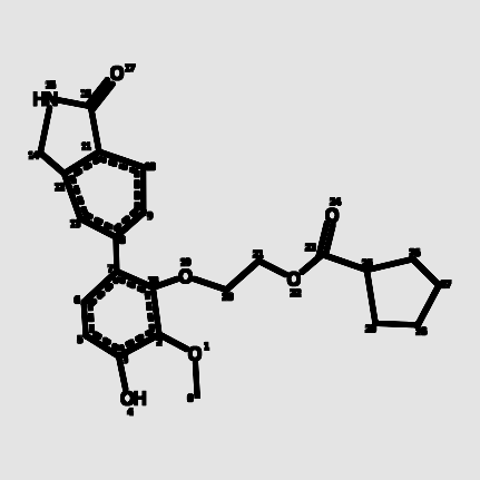 COc1c(O)ccc(-c2ccc3c(c2)CNC3=O)c1OCCOC(=O)C1CCCC1